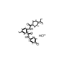 Cc1ccc(NC(=O)N2CCN(C(C)C)CC2)c(C(=O)Nc2ccc(Cl)cn2)c1.Cl